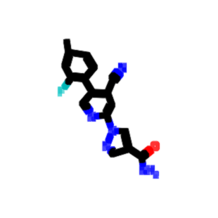 Cc1ccc(-c2cnc(-n3cc(C(N)=O)cn3)cc2C#N)c(F)c1